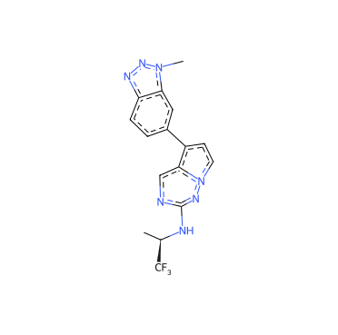 C[C@@H](Nc1ncc2c(-c3ccc4nnn(C)c4c3)ccn2n1)C(F)(F)F